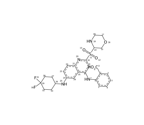 O=C(O)c1ccccc1Nc1cc(S(=O)(=O)C2COCCN2)nc2ccc(NC3CCC(F)(F)CC3)cc12